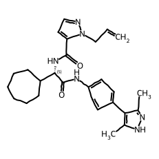 C=CCn1nccc1C(=O)N[C@H](C(=O)Nc1ccc(-c2c(C)n[nH]c2C)cc1)C1CCCCCC1